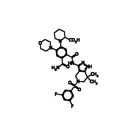 CC1(C)CN(S(=O)(=O)c2cc(F)cc(F)c2)Cc2c(NC(=O)c3cc(N4CCCCC4C(=O)O)c(N4CCOCC4)cc3C(N)=O)n[nH]c21